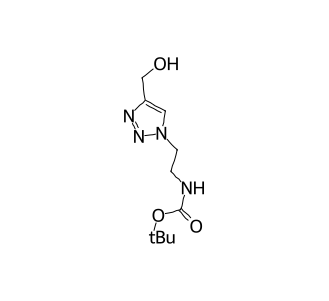 CC(C)(C)OC(=O)NCCn1cc(CO)nn1